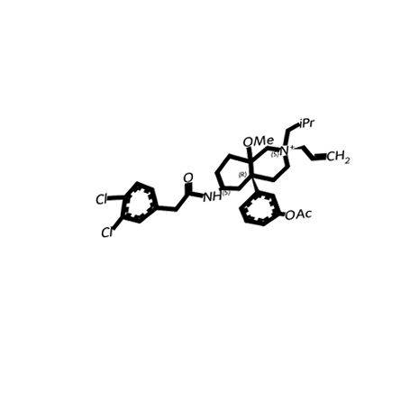 C=CC[N@@+]1(CC(C)C)CC[C@]2(c3cccc(OC(C)=O)c3)C[C@@H](NC(=O)Cc3ccc(Cl)c(Cl)c3)CCC2(OC)C1